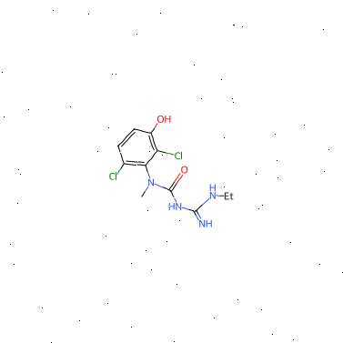 CCNC(=N)NC(=O)N(C)c1c(Cl)ccc(O)c1Cl